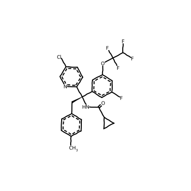 Cc1ccc(C[C@](NC(=O)C2CC2)(c2cc(F)cc(OC(F)(F)C(F)F)c2)c2ccc(Cl)cn2)cc1